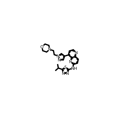 CC(C)c1nnc(Nc2ccc3nccc(-c4cnn(CCN5CCOCC5)c4)c3n2)s1